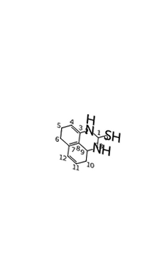 SC1NC2=CCCC3=C2C(CC=C3)N1